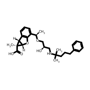 C[C@@H](OC[C@H](O)CNC(C)(C)CCCc1ccccc1)c1cccc2c1O[C@H]1[C@@H]2[C@]1(C)C(=O)O